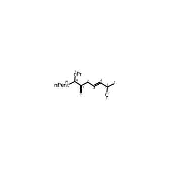 C=C(CC=CC(C)Cl)C(CCC)CCCCC